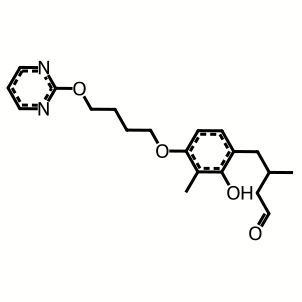 Cc1c(OCCCCOc2ncccn2)ccc(CC(C)CC=O)c1O